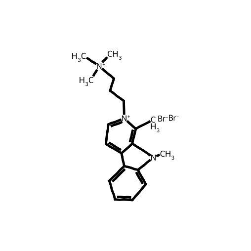 Cc1c2c(cc[n+]1CCC[N+](C)(C)C)c1ccccc1n2C.[Br-].[Br-]